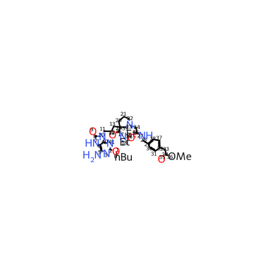 CCCCOc1nc(N)c2[nH]c(=O)n(CCCC3(C(=O)N(CC)CC)CCCN(CC(=O)NCc4ccc(CC(=O)OC)cc4)C3)c2n1